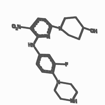 O=[N+]([O-])c1ccc(N2CCC(O)CC2)nc1Nc1ccc(N2CCNCC2)c(F)c1